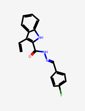 C=Cc1c(C(=O)NN=Cc2ccc(F)cc2)[nH]c2ccccc12